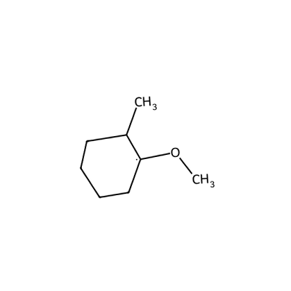 CO[C]1CCCCC1C